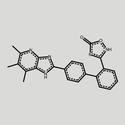 Cc1nc2nc(-c3ccc(-c4ccccc4-c4nc(=O)o[nH]4)cc3)[nH]c2c(C)c1C